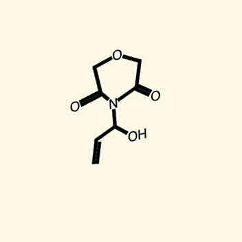 C=CC(O)N1C(=O)COCC1=O